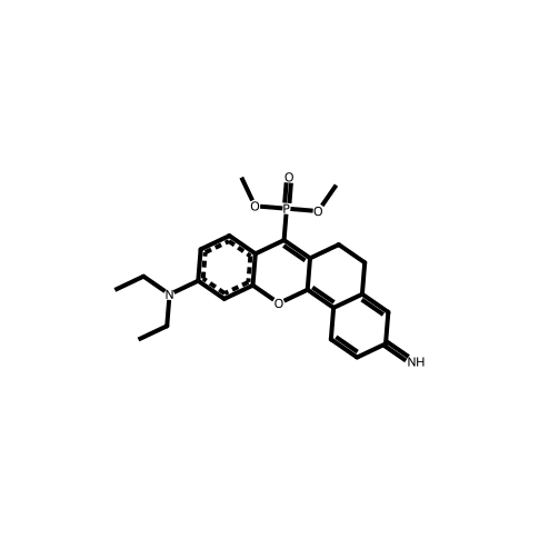 CCN(CC)c1ccc2c(c1)OC1=C3C=CC(=N)C=C3CCC1=C2P(=O)(OC)OC